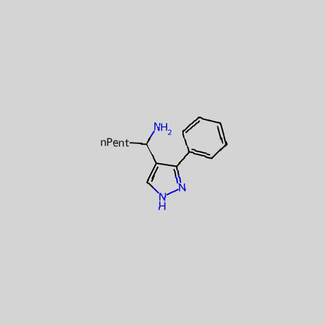 CCCCCC(N)c1c[nH]nc1-c1ccccc1